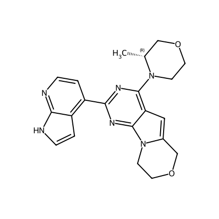 C[C@@H]1COCCN1c1nc(-c2ccnc3[nH]ccc23)nc2c1cc1n2CCOC1